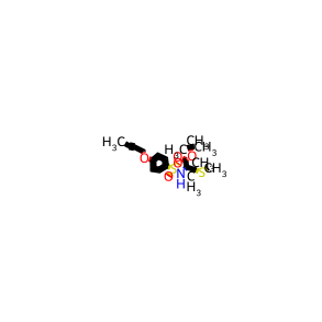 CC#CCOc1ccc(S(=O)(=O)NC(C(=O)OC(C)(C)C)C(C)(C)SC)cc1